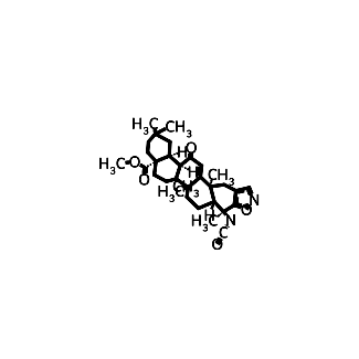 COC(=O)[C@]12CCC(C)(C)C[C@H]1[C@H]1C(=O)C=C3[C@@]4(C)Cc5cnoc5[C@@](C)(N=C=O)[C@@H]4CC[C@@]3(C)[C@]1(C)CC2